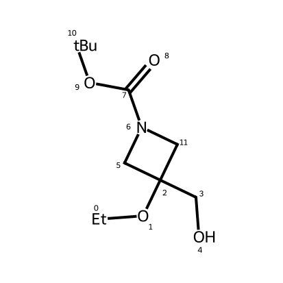 CCOC1(CO)CN(C(=O)OC(C)(C)C)C1